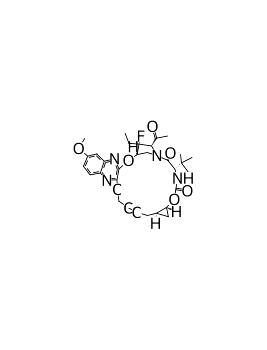 CC[C@]1(F)[C@@H]2CN(C(=O)[C@H](C(C)(C)C)NC(=O)O[C@@H]3C[C@H]3CCCCCc3nc4ccc(OC)cc4nc3O2)[C@@H]1C(C)=O